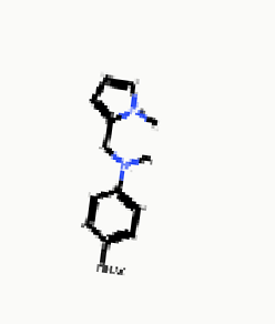 CC(=O)Nc1ccc(N(C)Cc2cccn2C)cc1